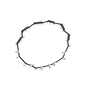 [C]1=C/C=C/C=C/C=C/C=C\C=C\CCCCCCCCCCC/1